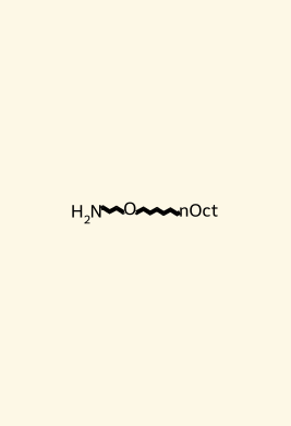 CCCCCCCCCCCCCCCOCCCCN